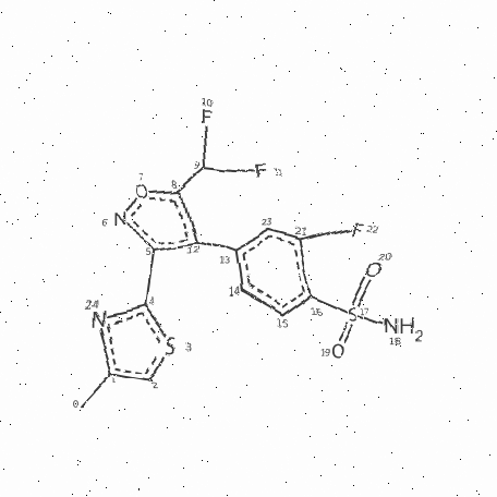 Cc1csc(-c2noc(C(F)F)c2-c2ccc(S(N)(=O)=O)c(F)c2)n1